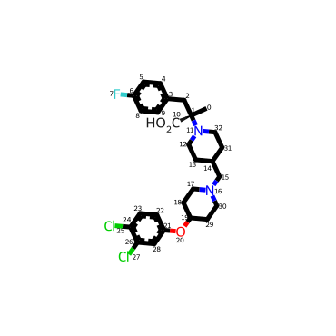 C[C@](Cc1ccc(F)cc1)(C(=O)O)N1CCC(CN2CCC(Oc3ccc(Cl)c(Cl)c3)CC2)CC1